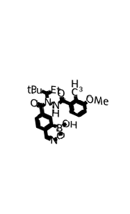 CCC(N(NC(=O)c1cccc(OC)c1C)C(=O)c1ccc2c(c1)B(O)ON=C2)C(C)(C)C